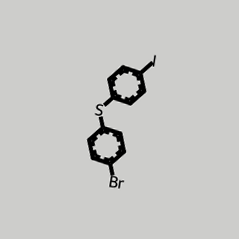 Brc1ccc(Sc2ccc(I)cc2)cc1